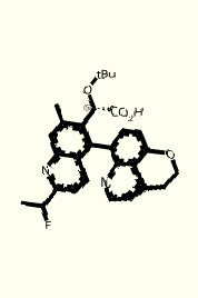 Cc1cc2nc(C(C)F)ccc2c(-c2ccc3c4c(ccnc24)CCO3)c1[C@H](OC(C)(C)C)C(=O)O